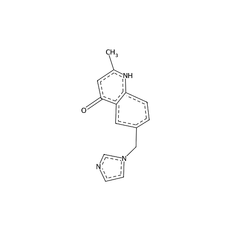 Cc1cc(=O)c2cc(Cn3ccnc3)ccc2[nH]1